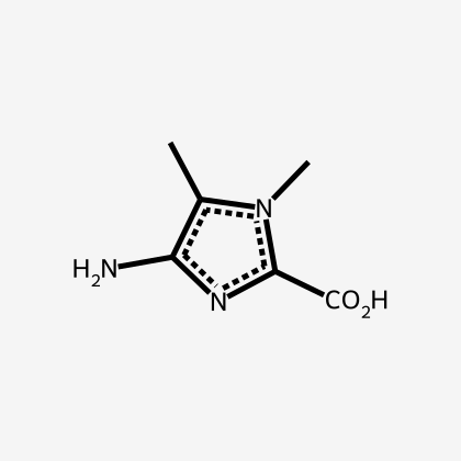 Cc1c(N)nc(C(=O)O)n1C